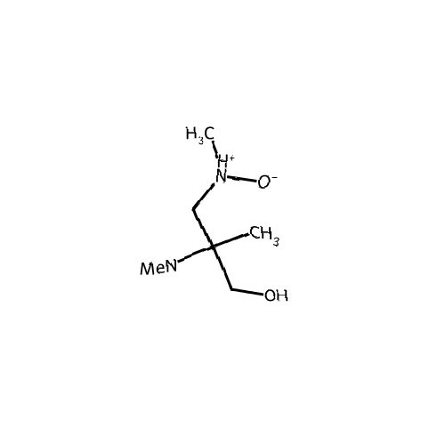 CNC(C)(CO)C[NH+](C)[O-]